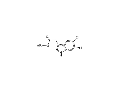 CCCCOC(=O)Cc1c[nH]c2cc(Cl)c(Cl)cc12